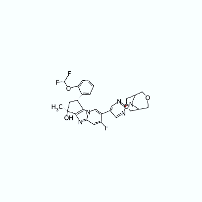 C[C@]1(O)C[C@H](c2ccccc2OC(F)F)c2c1nc1cc(F)c(-c3cnc(N4C5COCC4COC5)nc3)cn21